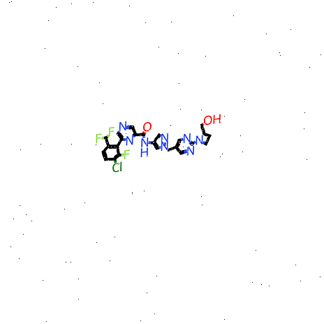 O=C(Nc1cnn(Cc2cnc(N3CCC3CO)nc2)c1)c1cncc(-c2c(C(F)F)ccc(Cl)c2F)n1